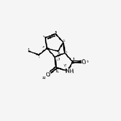 CCC12C=CC(C1)C1C(=O)NC(=O)C12